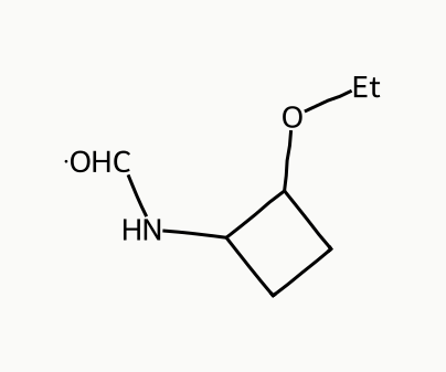 CCOC1CCC1N[C]=O